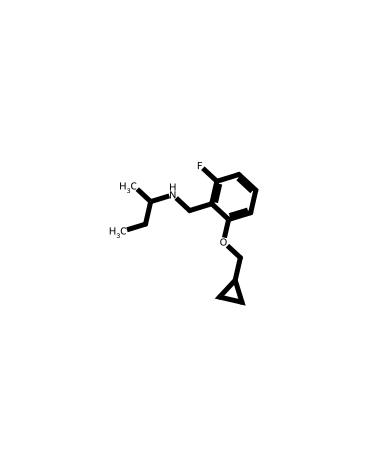 CCC(C)NCc1c(F)cccc1OCC1CC1